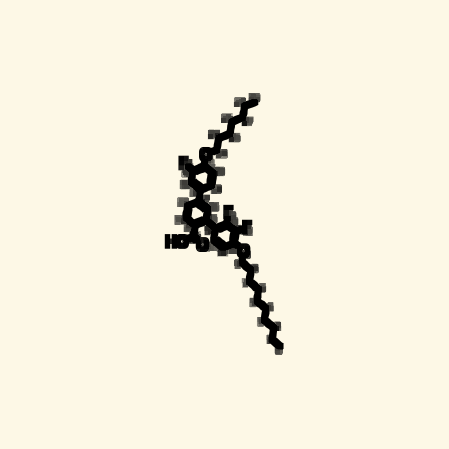 CCCCCCCCCCOc1ccc(-c2cc(-c3ccc(OCCCCCCC)c(F)c3)ccc2C(=O)O)c(F)c1F